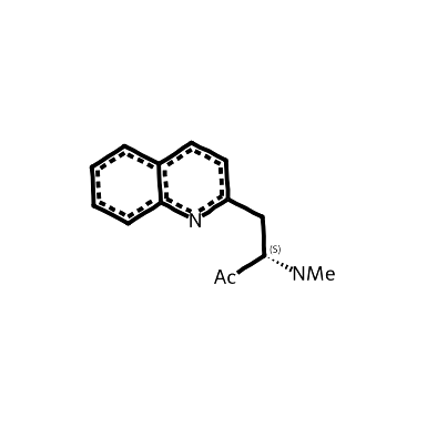 CN[C@@H](Cc1ccc2ccccc2n1)C(C)=O